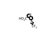 O=C(O)c1ccnc2ccc(N3CC(C(F)(F)F)C3)cc12